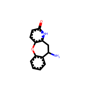 NC1Cc2[nH]c(=O)ccc2Oc2ccccc21